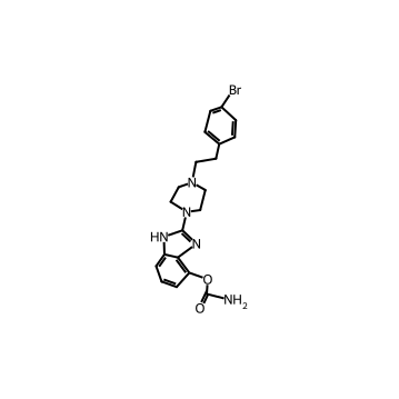 NC(=O)Oc1cccc2[nH]c(N3CCN(CCc4ccc(Br)cc4)CC3)nc12